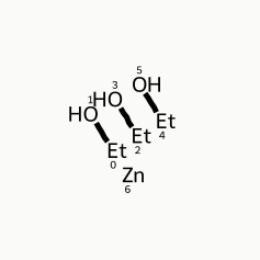 CCO.CCO.CCO.[Zn]